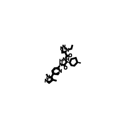 CCn1nncc1C(=O)NC(C(=O)Nc1ccc(-c2c(C)cnn2C)cn1)[C@H]1CC[C@H](C)CC1